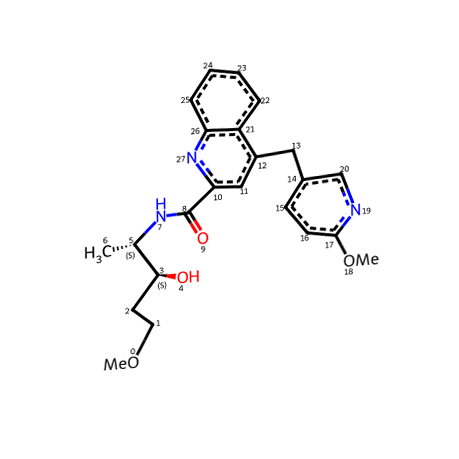 COCC[C@H](O)[C@H](C)NC(=O)c1cc(Cc2ccc(OC)nc2)c2ccccc2n1